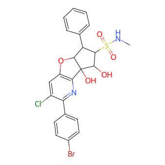 CNS(=O)(=O)C1C(c2ccccc2)C2Oc3cc(Cl)c(-c4ccc(Br)cc4)nc3C2(O)C1O